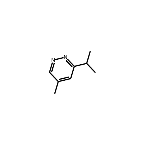 Cc1cnnc(C(C)C)c1